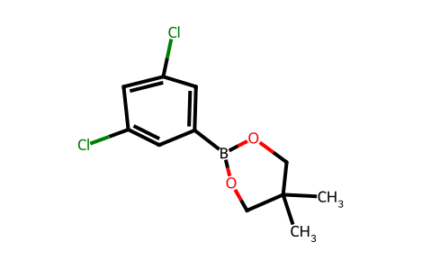 CC1(C)COB(c2cc(Cl)cc(Cl)c2)OC1